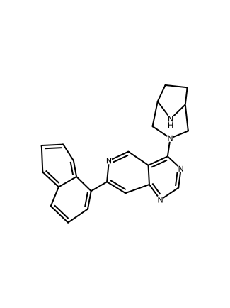 c1ccc2c(-c3cc4ncnc(N5CC6CCC(C5)N6)c4cn3)cccc2c1